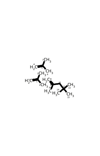 C=C(C)C.C=C(C)C.C=C(C)CC(C)(C)C